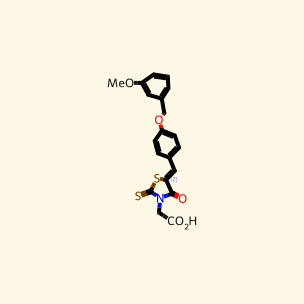 COc1cccc(COc2ccc(/C=C3\SC(=S)N(CC(=O)O)C3=O)cc2)c1